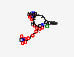 COc1cc2cc(c1Cl)N(C)C(=O)C[C@H](OC(=O)[C@H](C)OCCOCCOCC(=O)ON1C(=O)CCC1=O)[C@]1(C)O[C@H]1[C@H](C)C1C[C@@](O)(NC(=O)O1)[C@H](OC)/C=C/C=C(\C)C2